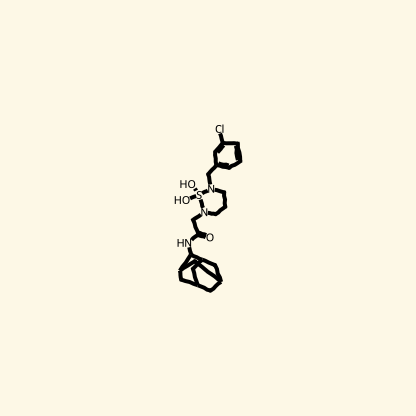 O=C(CN1CCCN(Cc2cccc(Cl)c2)S1(O)O)NC1C2CC3CC(C2)CC1C3